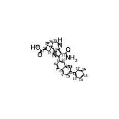 NC(=O)c1c(-c2ccc3ccc(-c4ccccc4)nc3c2)nn2c1NCCC21CC(C(=O)O)C1